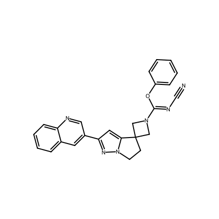 N#CN=C(Oc1ccccc1)N1CC2(CCn3nc(-c4cnc5ccccc5c4)cc32)C1